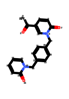 CCCC(=O)c1ccc(=O)n(Cc2ccc(Cn3ccccc3=O)cc2)c1